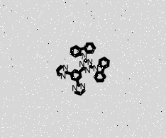 c1cnc(-c2cc(-c3ncccn3)cc(-c3nc(-n4c5ccccc5c5ccccc54)nc(-n4c5ccccc5c5ccccc54)n3)c2)nc1